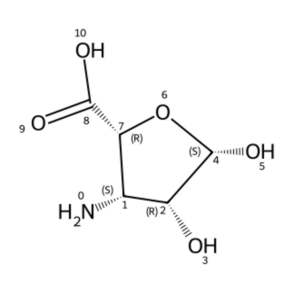 N[C@H]1[C@@H](O)[C@@H](O)O[C@H]1C(=O)O